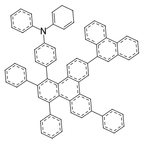 C1=CC(N(c2ccccc2)c2ccc(-c3c(-c4ccccc4)cc(-c4ccccc4)c4c5ccc(-c6ccccc6)cc5c5cc(-c6cc7ccccc7c7ccccc67)ccc5c34)cc2)=CCC1